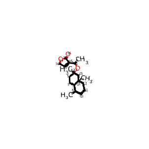 CC(OC1(C)CCC2C(C)CCC[C@@]2(C)C1)C1=CCOC1=O